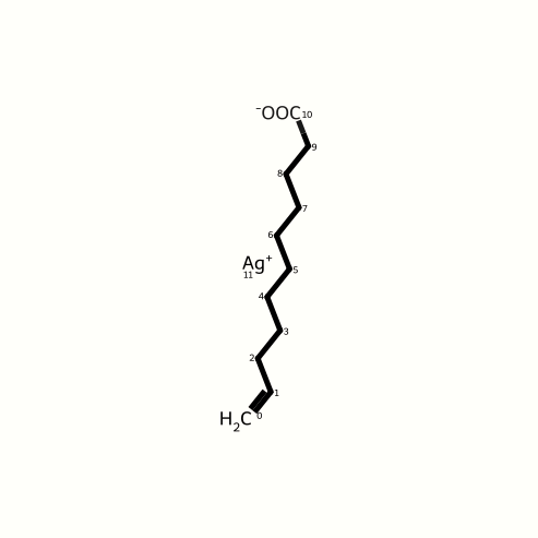 C=CCCCCCCCCC(=O)[O-].[Ag+]